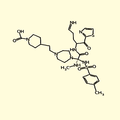 CN[C@@](NS(=O)(=O)c1ccc(C)cc1)(C(=O)NC(CCC=N)C(=O)c1nccs1)N1CCN(CCC2CCN(C(=O)O)CC2)CC1